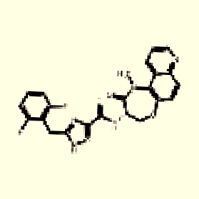 CN1C(=O)[C@@H](NC(=O)c2n[nH]c(Cc3c(F)cccc3F)n2)COc2ccc3ncccc3c21